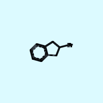 CC(C)C1Cc2ccccc2C1